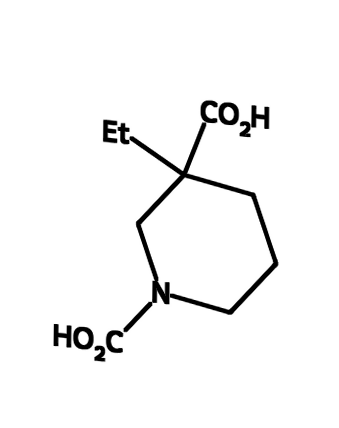 CCC1(C(=O)O)CCCN(C(=O)O)C1